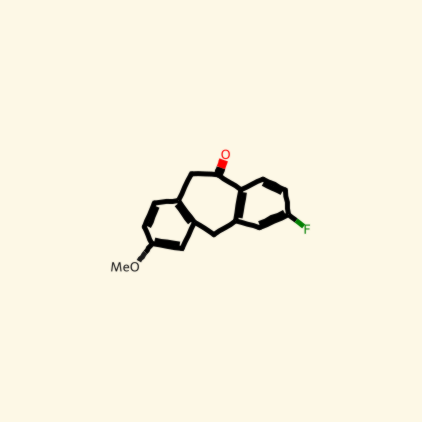 COc1ccc2c(c1)Cc1cc(F)ccc1C(=O)C2